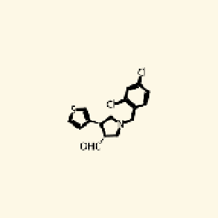 O=C[C@H]1CN(Cc2ccc(Cl)cc2Cl)C[C@@H]1c1ccsc1